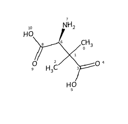 CC(C)(C(=O)O)[C@H](N)C(=O)O